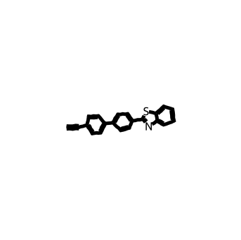 C#Cc1ccc(-c2ccc(-c3nc4ccccc4s3)cc2)cc1